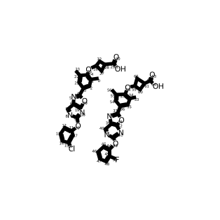 Cc1cc(-c2nc3cnc(Oc4cccc(Cl)c4)nc3o2)cc(C)c1OC1CC(C(=O)O)C1.Cc1cc(-c2nc3cnc(Oc4ccccc4F)nc3o2)cc(C)c1OC1CC(C(=O)O)C1